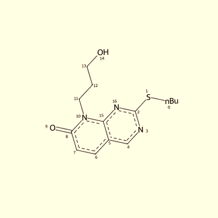 CCCCSc1ncc2ccc(=O)n(CCCO)c2n1